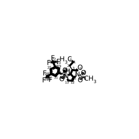 CCC[C@H]1C(=O)N(S(C)(=O)=O)C2=CCN(S(=O)(=O)c3cc(C(F)(F)F)cc(C(F)(F)F)c3)[C@@H]21